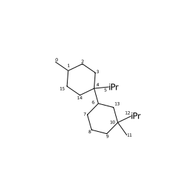 CC1CCC(C(C)C)(C2CCCC(C)(C(C)C)C2)CC1